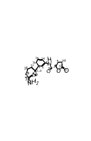 C[C@@]1(C2C=C(NC(=O)[C@@H]3CCC(=O)O3)C=CC2)CCSC(N)=N1